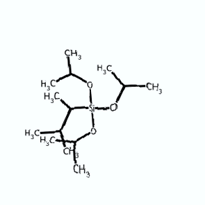 CC(C)O[Si](OC(C)C)(OC(C)C)C(C)C(C)C